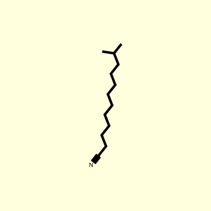 CC(C)CCCCCCCCCC#N